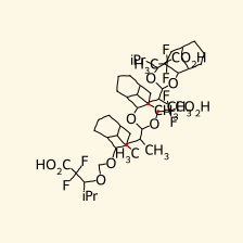 CC(C)C(OCOC1C(C)CC2CCCC1C2CC(C)C(OCC(F)(F)C(=O)O)OC1C(C)CC2CCCC1C2CC(C)C(OC1C(C)CC2CCCC1C2)OC(C(C)C)C(F)(F)C(=O)O)C(F)(F)C(=O)O